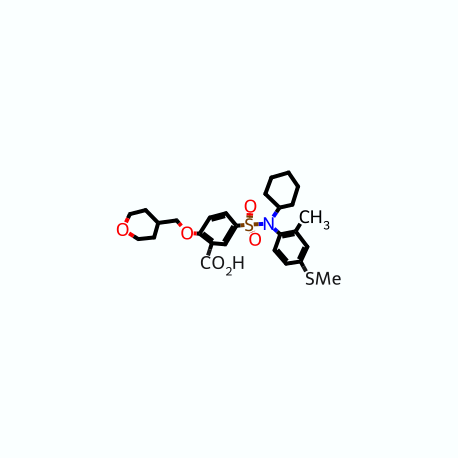 CSc1ccc(N(C2CCCCC2)S(=O)(=O)c2ccc(OCC3CCOCC3)c(C(=O)O)c2)c(C)c1